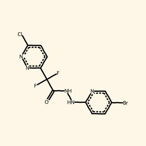 O=C(NNc1ccc(Br)cn1)C(F)(F)c1ccc(Cl)nn1